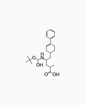 CC(CC(CC1CC=C(c2ccccc2)CC1)NC(O)OC(C)(C)C)C(=O)O